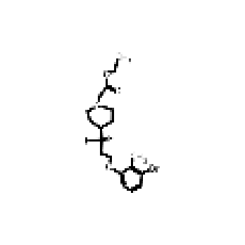 CCOC(=O)CN1CCC(C(F)(F)CCOc2cccc(Br)c2C)CC1